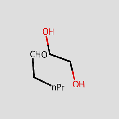 CCCCC=O.OCCO